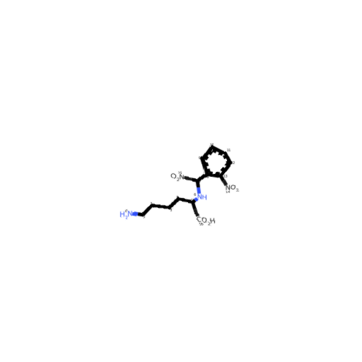 NCCCCC(NC(c1ccccc1[N+](=O)[O-])[N+](=O)[O-])C(=O)O